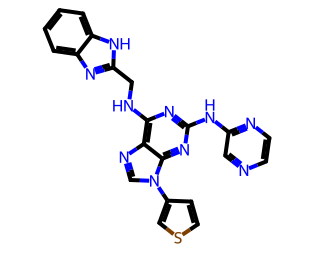 c1ccc2[nH]c(CNc3nc(Nc4cnccn4)nc4c3ncn4-c3ccsc3)nc2c1